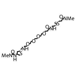 CNC(=O)CCSSCCNC(=O)CCOCCOCCOCCOCCNC[C@H]1C[C@@H](NC(=O)NC)CS1